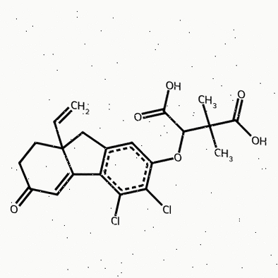 C=CC12CCC(=O)C=C1c1c(cc(OC(C(=O)O)C(C)(C)C(=O)O)c(Cl)c1Cl)C2